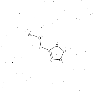 CC(=O)OCC1=COCO1